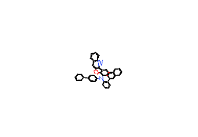 c1ccc(-c2ccc(N(c3ccccc3-c3ccc4ccccc4c3)c3cccc4c3oc3cc5ccccc5nc34)cc2)cc1